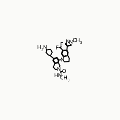 CNC(=O)N1CCc2cc(C3CCC(N)CC3)cc(N3CCCc4cc(-c5cnn(C)c5)c(C(F)F)cc43)c2C1